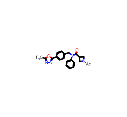 CC(=O)N1CC(C(=O)N(Cc2ccc(-c3nnc(C(F)(F)F)o3)cc2)c2ccccc2)C1